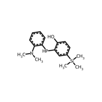 CN(C)c1ccccc1Pc1cc([Si](C)(C)C)ccc1O